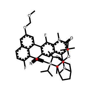 COCOc1cc(-c2c(C#N)cc3c(N4CC5CCC(C4)N5C(=O)OC(C)(C)C)nc(=O)n(C)c3c2F)c2c(C#C[Si](C(C)C)(C(C)C)C(C)C)c(F)ccc2c1